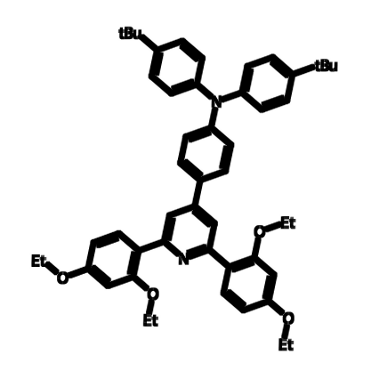 CCOc1ccc(-c2cc(-c3ccc(N(c4ccc(C(C)(C)C)cc4)c4ccc(C(C)(C)C)cc4)cc3)cc(-c3ccc(OCC)cc3OCC)n2)c(OCC)c1